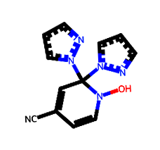 N#CC1=CC(n2cccn2)(n2cccn2)N(O)C=C1